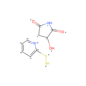 O=C1CC(O)C(=O)N1.SSc1ccccn1